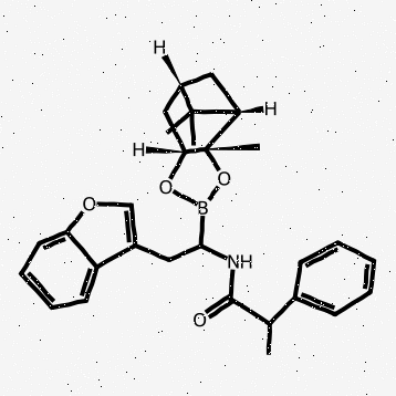 CC(C(=O)NC(Cc1coc2ccccc12)B1O[C@@H]2C[C@@H]3C[C@@H](C3(C)C)[C@]2(C)O1)c1ccccc1